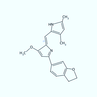 COC1=CC(c2ccc3c(c2)OCC3)=N/C1=C\c1[nH]c(C)cc1C